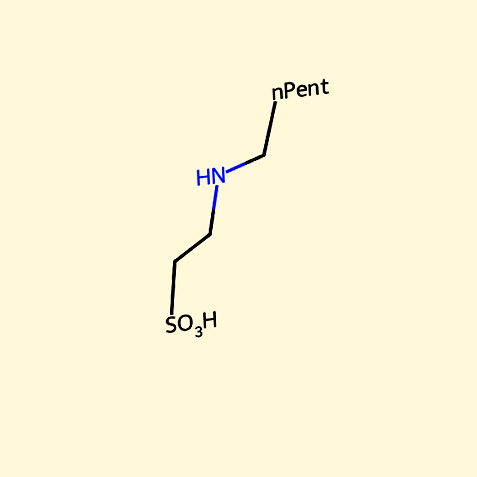 CCCCCCNCCS(=O)(=O)O